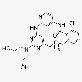 CCc1cc(Nc2cc(NC(=O)c3c(Cl)cccc3Cl)ccn2)nc(N(CCO)CCO)n1